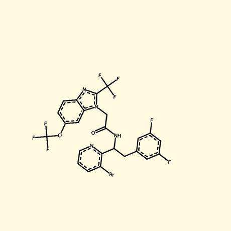 O=C(Cn1c(C(F)(F)F)nc2ccc(OC(F)(F)F)cc21)NC(Cc1cc(F)cc(F)c1)c1ncccc1Br